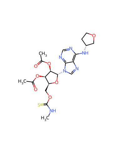 CNC(=S)OC[C@@H]1O[C@@H](n2cnc3c(N[C@@H]4CCOC4)ncnc32)[C@H](OC(C)=O)[C@@H]1OC(C)=O